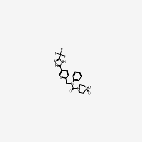 O=C(N1CCS(=O)(=O)CC1)N(Cc1ccc(-c2nnc(C(F)(F)F)[nH]2)cn1)c1ccccc1